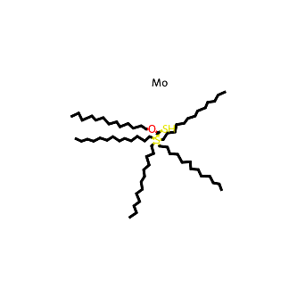 CCCCCCCCCCCCCOC(S)=S(CCCCCCCCCCCCC)(CCCCCCCCCCCCC)(CCCCCCCCCCCCC)CCCCCCCCCCCCC.[Mo]